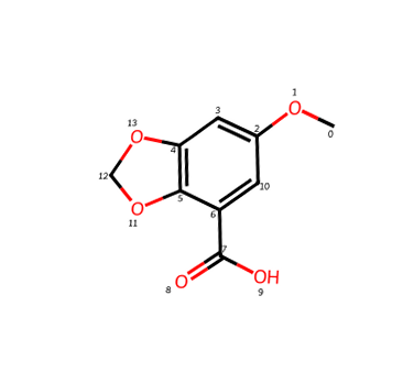 COc1cc2c(c(C(=O)O)c1)OCO2